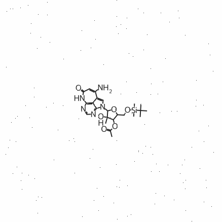 CC(=O)OC1C(CO[Si](C)(C)C(C)(C)C)OC(n2cc3c4c(ncnc42)NC(=O)C=C3N)C1(C)O